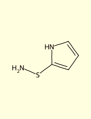 NSc1ccc[nH]1